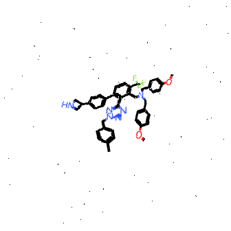 COc1ccc(CN(Cc2ccc(OC)cc2)Cc2c(C(F)(F)F)ccc(-c3ccc(C4CNC4)cc3)c2-c2nnn(Cc3ccc(C)cc3)n2)cc1